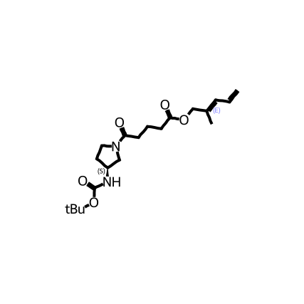 C=C/C=C(\C)COC(=O)CCCC(=O)N1CC[C@H](NC(=O)OC(C)(C)C)C1